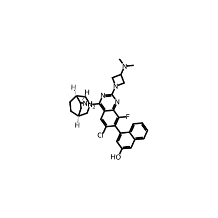 CN(C)C1CN(c2nc(N3C[C@H]4CC[C@@H](C3)[C@@H](N)C4)c3cc(Cl)c(-c4cc(O)cc5ccccc45)c(F)c3n2)C1